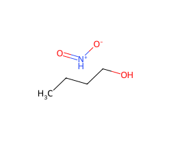 CCCCO.O=[NH+][O-]